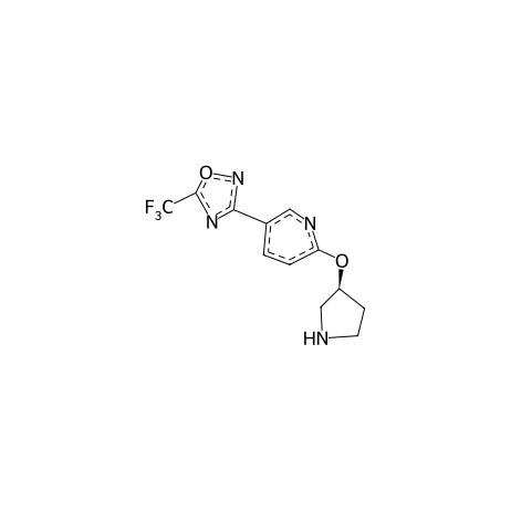 FC(F)(F)c1nc(-c2ccc(O[C@H]3CCNC3)nc2)no1